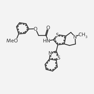 COc1cccc(OCC(=O)Nc2sc3c(c2-c2nc4ccccc4s2)CCN(C)C3)c1